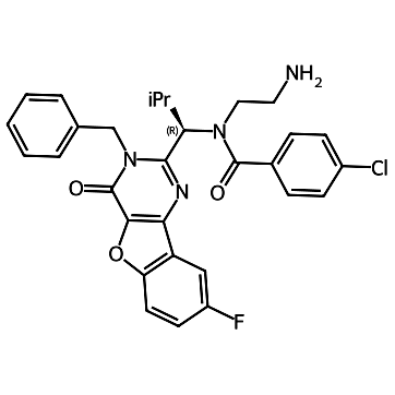 CC(C)[C@H](c1nc2c(oc3ccc(F)cc32)c(=O)n1Cc1ccccc1)N(CCN)C(=O)c1ccc(Cl)cc1